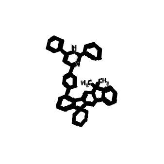 CC1(C)c2ccccc2C2C=C3C(=CC21)c1c(-c2ccc(C4=NC(c5ccccc5)NC(c5ccccc5)=C4)cc2)cccc1C31CCCCC1